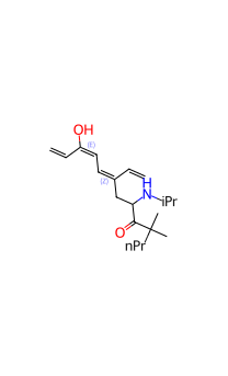 C=C/C(=C\C=C(\O)C=C)CC(NC(C)C)C(=O)C(C)(C)CCC